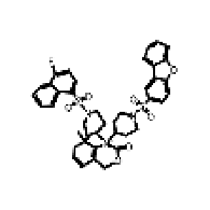 CC1(C)CC=CC2=C1[N+](C1CCN(S(=O)(=O)c3ccc4oc5ccccc5c4c3)CC1)(C1CCN(S(=O)(=O)c3ccc(F)c4ccccc34)CC1)C(=O)OC2